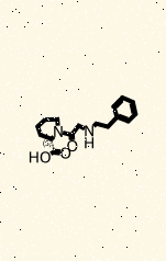 O=C(O)[C@@H]1CCCCN1C(=O)CNCCc1ccccc1